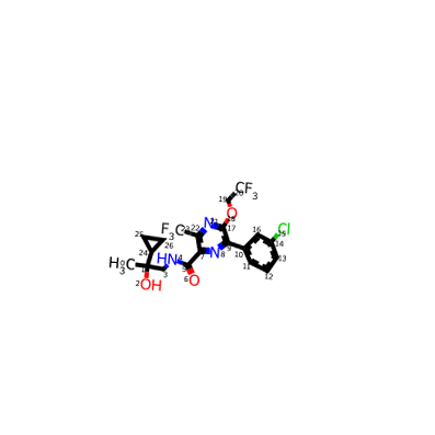 CC(O)(CNC(=O)c1nc(-c2cccc(Cl)c2)c(OCC(F)(F)F)nc1C(F)(F)F)C1CC1